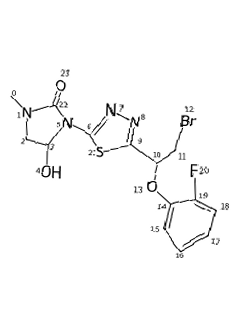 CN1CC(O)N(c2nnc(C(CBr)Oc3ccccc3F)s2)C1=O